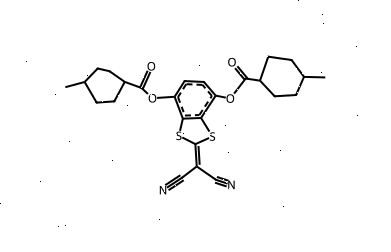 CC1CCC(C(=O)Oc2ccc(OC(=O)C3CCC(C)CC3)c3c2SC(=C(C#N)C#N)S3)CC1